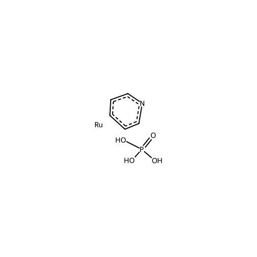 O=P(O)(O)O.[Ru].c1ccncc1